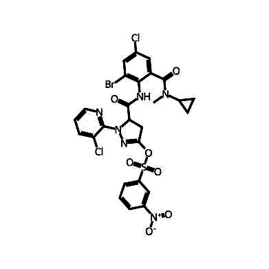 CN(C(=O)c1cc(Cl)cc(Br)c1NC(=O)C1CC(OS(=O)(=O)c2cccc([N+](=O)[O-])c2)=NN1c1ncccc1Cl)C1CC1